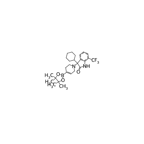 CC1(C)OB(C2=CCN(C3(C4CCCCC4)C(=O)Nc4c(C(F)(F)F)cccc43)CC2)OC1(C)C